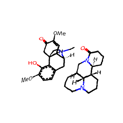 COC1=C[C@@H]2[C@@H]3Cc4ccc(OC)c(O)c4[C@]2(CCN3C)CC1=O.O=C1CCC[C@H]2[C@@H]3CCCN4CCC[C@H](CN12)[C@H]34